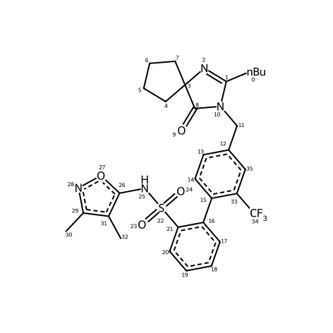 CCCCC1=NC2(CCCC2)C(=O)N1Cc1ccc(-c2ccccc2S(=O)(=O)Nc2onc(C)c2C)c(C(F)(F)F)c1